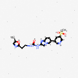 CC(C)(C)c1cnc(CCNC(=O)Nc2cn3cc(-c4cncc(S(C)(=O)=O)c4)ccc3n2)o1